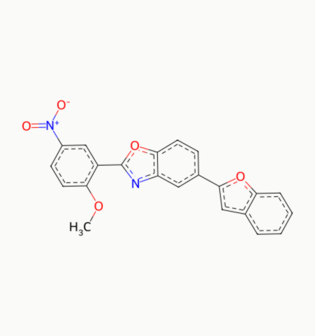 COc1ccc([N+](=O)[O-])cc1-c1nc2cc(-c3cc4ccccc4o3)ccc2o1